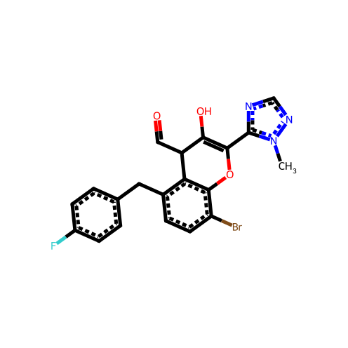 Cn1ncnc1C1=C(O)C(C=O)c2c(Cc3ccc(F)cc3)ccc(Br)c2O1